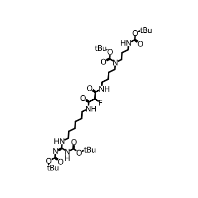 CC(C)(C)OC(=O)/N=C(/NCCCCCCNC(=O)C(F)C(=O)NCCCCN(CCCNC(=O)OC(C)(C)C)C(=O)OC(C)(C)C)NC(=O)OC(C)(C)C